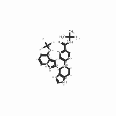 CC(C)(C)NC(=O)c1cnc(N2CCc3[nH]cnc3[C@@H]2c2cc3c(OC(F)(F)F)cccn3n2)cn1